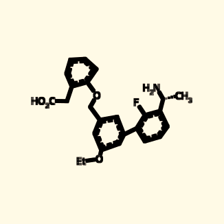 CCOc1cc(COc2ccccc2CC(=O)O)cc(-c2cccc([C@@H](C)N)c2F)c1